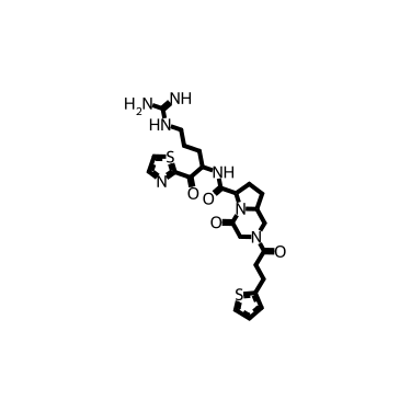 N=C(N)NCCCC(NC(=O)C1CCC2CN(C(=O)CCc3cccs3)CC(=O)N21)C(=O)c1nccs1